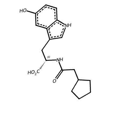 O=C(CC1CCCC1)N[C@@H](Cc1c[nH]c2ccc(O)cc12)C(=O)O